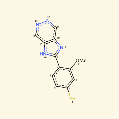 COc1cc(S)ccc1-c1nc2cnncc2[nH]1